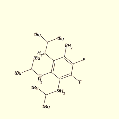 Bc1c(F)c(F)c([SiH2]C(C(C)(C)C)C(C)(C)C)c([SiH2]C(C(C)(C)C)C(C)(C)C)c1[SiH2]C(C(C)(C)C)C(C)(C)C